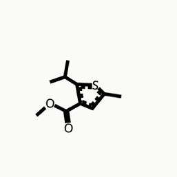 COC(=O)c1cc(C)sc1C(C)C